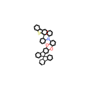 C1=CCC2C(=C1)c1ccccc1C21c2ccccc2-c2cc3c(cc21)Oc1cccc(N(c2ccccc2)c2ccccc2-c2cccc4c2sc2ccccc24)c1O3